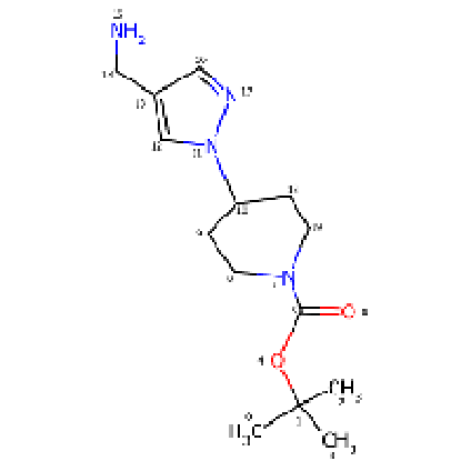 CC(C)(C)OC(=O)N1CCC(n2cc(CN)cn2)CC1